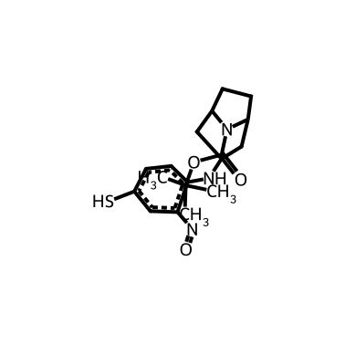 CC(C)(C)OC(=O)N1C2CCC1CC(Nc1ccc(S)cc1N=O)C2